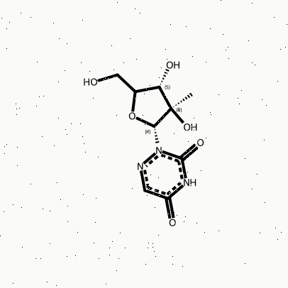 C[C@@]1(O)[C@@H](O)C(CO)O[C@H]1n1ncc(=O)[nH]c1=O